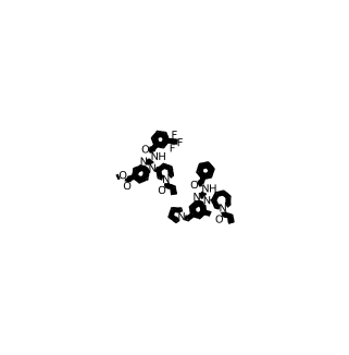 C=CC(=O)N1CCCC(n2c(NC(=O)c3cccc(C(F)(F)F)c3)nc3cc(C(=O)OC)ccc32)C1.C=CC(=O)N1CCCC[C@@H](n2c(NC(=O)c3ccccc3)nc3cc(CN4CCCC4)cc(C)c32)C1